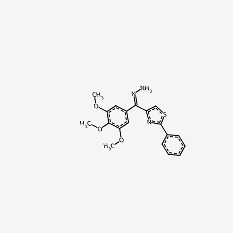 COc1cc(C(=NN)c2csc(-c3ccccc3)n2)cc(OC)c1OC